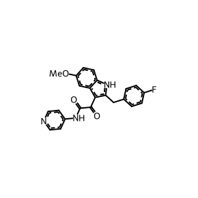 COc1ccc2[nH]c(Cc3ccc(F)cc3)c(C(=O)C(=O)Nc3ccncc3)c2c1